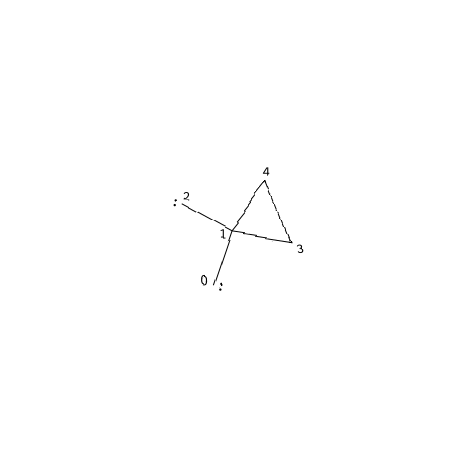 [CH]C1([CH])CC1